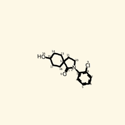 O=C1N(c2ccccc2Cl)CCC12CCC(O)CC2